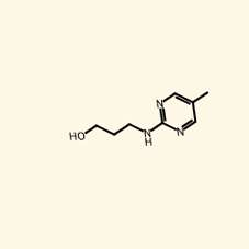 Cc1cnc(NCCCO)nc1